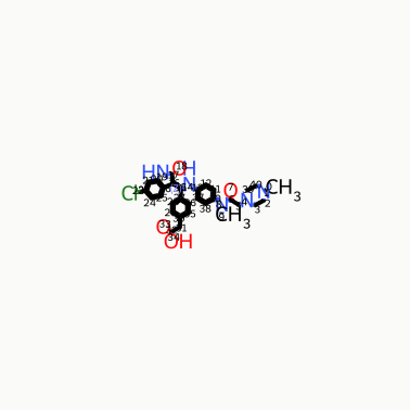 CN1CCN(CC(=O)N(C)c2ccc(N/C(=C3\C(=O)Nc4cc(Cl)ccc43)c3ccc(CC(=O)O)cc3)cc2)CC1